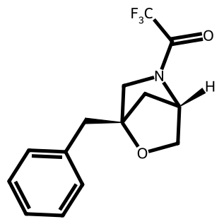 O=C(N1C[C@]2(Cc3ccccc3)C[C@H]1CO2)C(F)(F)F